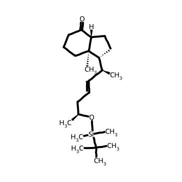 C[C@@H](C/C=C/[C@H](C)[C@H]1CC[C@H]2C(=O)CCC[C@]12C)O[Si](C)(C)C(C)(C)C